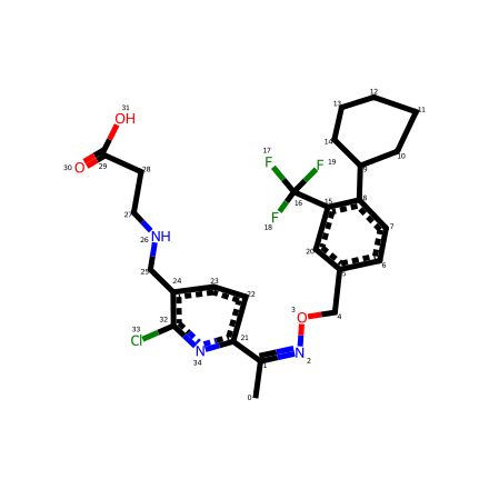 CC(=NOCc1ccc(C2CCCCC2)c(C(F)(F)F)c1)c1ccc(CNCCC(=O)O)c(Cl)n1